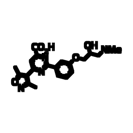 CNCC(O)COc1cccc(-c2nc(C(=O)O)cc(-c3c(C)noc3C)n2)c1